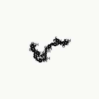 CC[C@@]1(O)C(=O)OCc2c1cc1n(c2=O)Cc2c-1nc1cc(F)c(OC)cc1c2CN1CCC([N+](C)(C)Cc2ccc(NC(=O)[C@H](C)NC(=O)CN(CC(=O)N[C@@H](C)C(O)Nc3ccc(C[N+](C)(C)C4CCN(Cc5c6c(nc7cc(F)c(OC)cc57)-c5cc7c(c(=O)n5C6)COC(=O)[C@]7(O)CC)CC4)cc3)C(=O)OC(C)(C)C)cc2)CC1